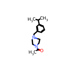 CC(=O)N1CCN(Cc2cccc(C(C)C)c2)CC1